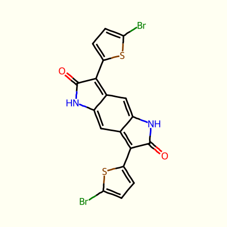 O=C1Nc2cc3c(cc2=C1c1ccc(Br)s1)NC(=O)C=3c1ccc(Br)s1